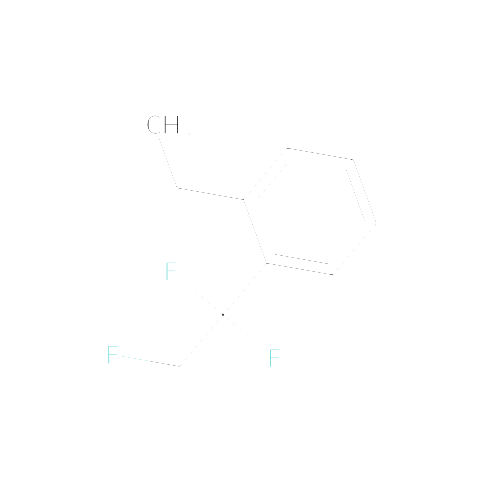 CCc1ccccc1C(F)(F)CF